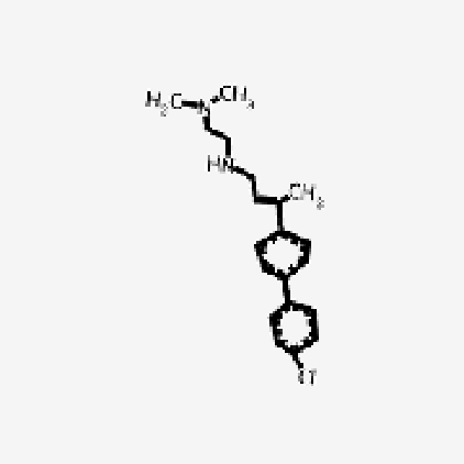 CC(=CCNCCN(C)C)c1ccc(-c2ccc(Cl)cc2)cc1